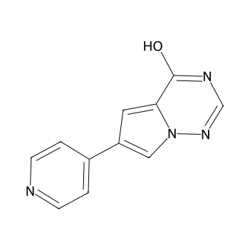 Oc1ncnn2cc(-c3ccncc3)cc12